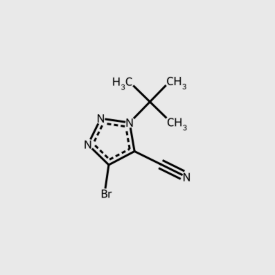 CC(C)(C)n1nnc(Br)c1C#N